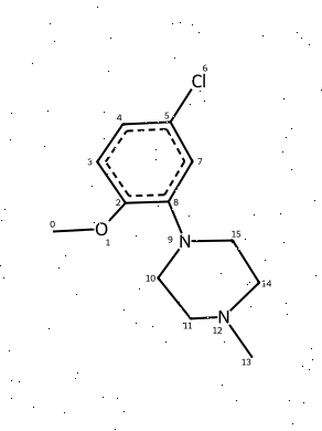 COc1ccc(Cl)cc1N1CCN(C)CC1